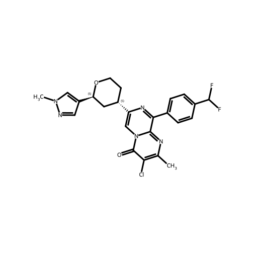 Cc1nc2c(-c3ccc(C(F)F)cc3)nc([C@H]3CCO[C@H](c4cnn(C)c4)C3)cn2c(=O)c1Cl